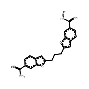 CC(C)NC(=N)c1ccc2cc(CCCc3cc4ccc(C(=N)N)cc4o3)oc2c1